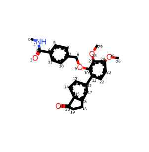 CNC(=O)c1ccc(COc2c(-c3ccc4c(c3)CCC4=O)ccc(OC)c2OC)cc1